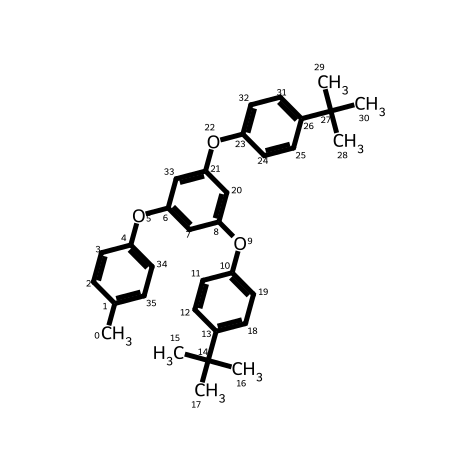 Cc1ccc(Oc2cc(Oc3ccc(C(C)(C)C)cc3)cc(Oc3ccc(C(C)(C)C)cc3)c2)cc1